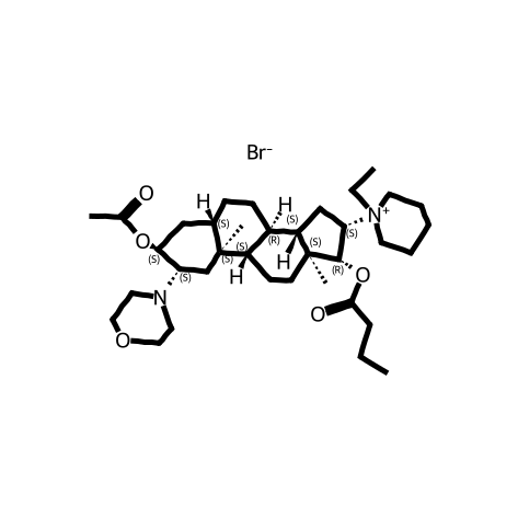 CCCC(=O)O[C@H]1[C@@H]([N+]2(CC)CCCCC2)C[C@H]2[C@@H]3CC[C@H]4C[C@H](OC(C)=O)[C@@H](N5CCOCC5)C[C@]4(C)[C@H]3CC[C@@]21C.[Br-]